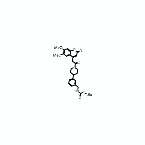 COc1cc2oc(=O)cc(CC(=O)N3CCC(c4cccc(CNC(=O)OC(C)(C)C)c4)CC3)c2cc1OC